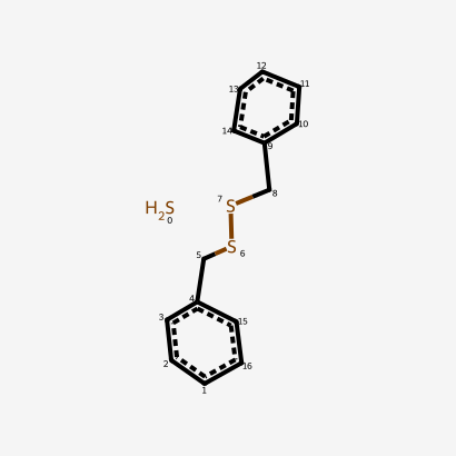 S.c1ccc(CSSCc2ccccc2)cc1